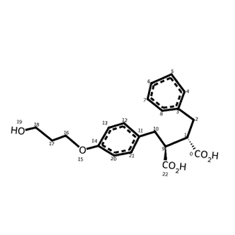 O=C(O)[C@@H](Cc1ccccc1)[C@H](Cc1ccc(OCCCO)cc1)C(=O)O